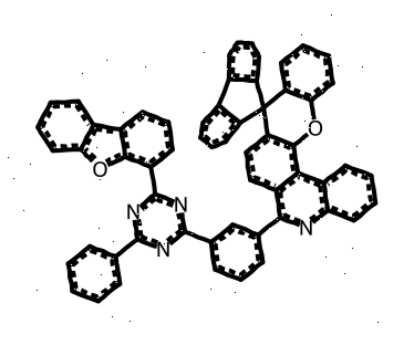 c1ccc(-c2nc(-c3cccc(-c4nc5ccccc5c5c6c(ccc45)C4(c5ccccc5O6)c5ccccc5-c5ccccc54)c3)nc(-c3cccc4c3oc3ccccc34)n2)cc1